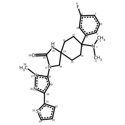 CN(C)C1(c2cccc(F)c2)CCC2(CC1)CN(c1cc(-c3cccs3)nn1C)C(=O)N2